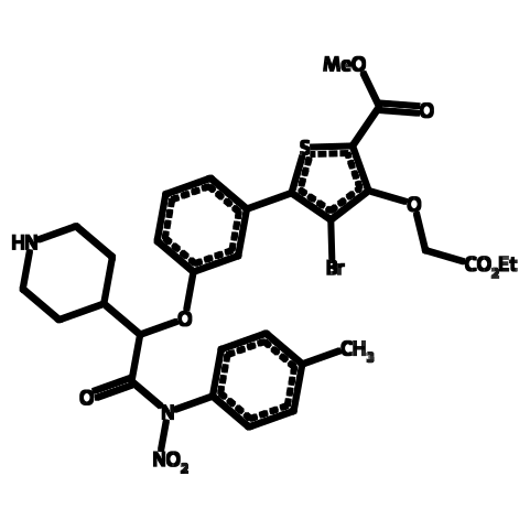 CCOC(=O)COc1c(C(=O)OC)sc(-c2cccc(OC(C(=O)N(c3ccc(C)cc3)[N+](=O)[O-])C3CCNCC3)c2)c1Br